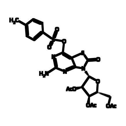 CC(=O)OC[C@H]1O[C@@H](n2c(=O)sc3c(OS(=O)(=O)c4ccc(C)cc4)nc(N)nc32)[C@H](OC(C)=O)[C@@H]1OC(C)=O